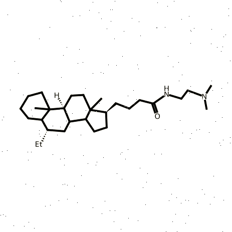 CC[C@H]1CC2C3CC[C@H](CCCC(=O)NCCN(C)C)C3(C)CC[C@@H]2C2(C)CCCCC12